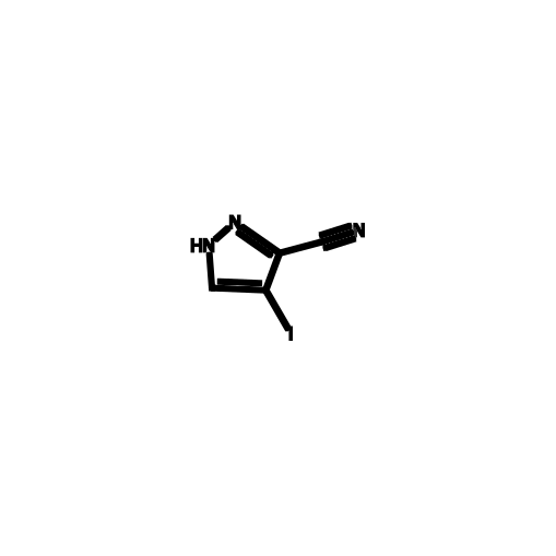 N#Cc1n[nH]cc1I